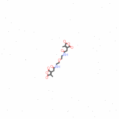 CC1=C(CC(=O)NCCOCCNC(=O)CC2=C(C)C(=O)OC2=O)C(=O)OC1=O